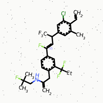 C=Cc1c(C)cc(C(/C=C(\F)c2ccc(CC(=C)NCC(C)(C)F)c(C(F)(F)CC)c2)C(F)(F)F)cc1Cl